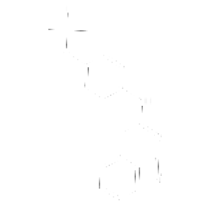 N#CN=C(Nc1ccc(OC(F)(F)F)cc1)Oc1ccccc1